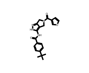 CC(C)(C)c1ccc(C(=O)Nc2[nH]nc3c2CN(C(=O)c2ccoc2)C3)cc1